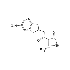 O=C(CC1Cc2ccc([N+](=O)[O-])cc2C1)C1C(=S)CN[C@@H]1C(=O)O